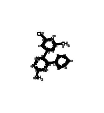 Cc1cc(-c2nnc(N)nc2-c2ccccc2)cc(Cl)n1